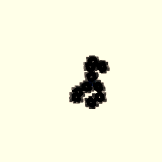 c1ccc(-c2cccc(-c3cccc(N(c4ccc(-c5ccc6ccccc6c5)cc4)c4ccc(-c5ccc6cccc(-c7ccccc7)c6c5)cc4)c3)c2)cc1